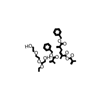 C=C(C)C(=O)OC(=O)C(C)=CCC(=C)C(=O)OCc1ccccc1.C=C(C)C(=O)OCc1ccccc1.CCOC(CO)OCCOCCO